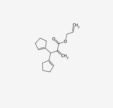 C=CCOC(=O)C(=C)C(C1=CCCC1)C1=CCCC1